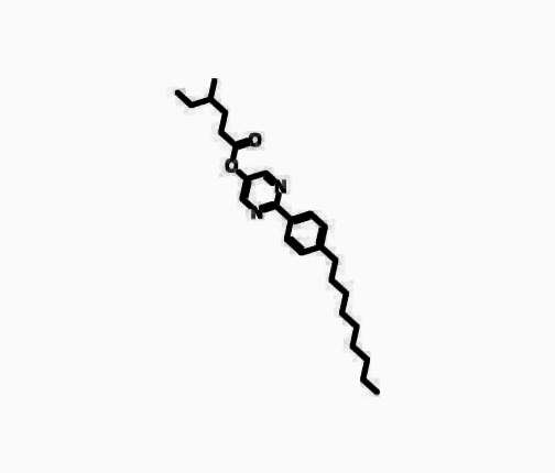 CCCCCCCCCc1ccc(-c2ncc(OC(=O)CCC(C)CC)cn2)cc1